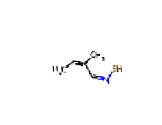 C/C=C(C)\C=N/S